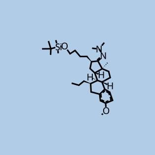 CCC[C@@H]1Cc2cc(OC)ccc2[C@H]2CC[C@]3(C)C(=NN(C)C)[C@H](CCCCO[Si](C)(C)C(C)(C)C)C[C@H]3[C@H]12